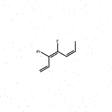 C=C/C(=C(F)\C=C/C)C(C)C